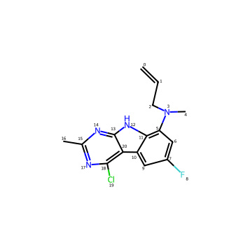 C=CCN(C)c1cc(F)cc2c1[nH]c1nc(C)nc(Cl)c12